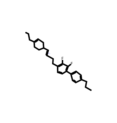 CCCC1=CCC(/C=C/CCc2ccc(-c3ccc(CCC)cc3)c(F)c2F)CC1